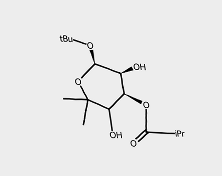 CC(C)C(=O)O[C@H]1C(O)C(C)(C)O[C@@H](OC(C)(C)C)[C@H]1O